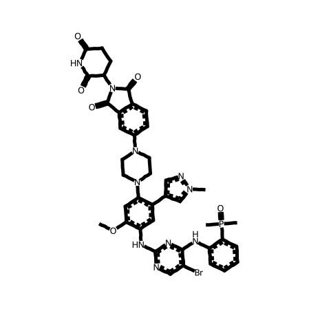 COc1cc(N2CCN(c3ccc4c(c3)C(=O)N(C3CCC(=O)NC3=O)C4=O)CC2)c(-c2cnn(C)c2)cc1Nc1ncc(Br)c(Nc2ccccc2P(C)(C)=O)n1